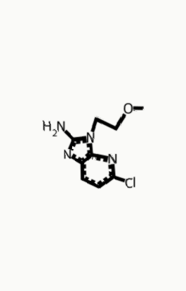 COCCn1c(N)nc2ccc(Cl)nc21